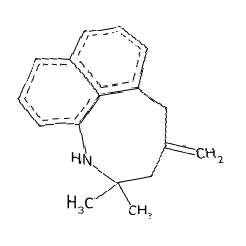 C=C1Cc2cccc3cccc(c23)NC(C)(C)C1